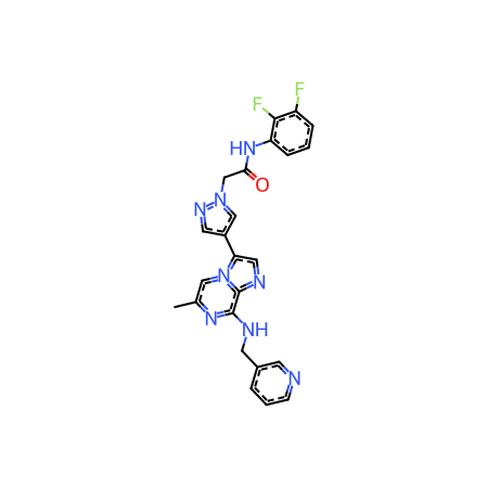 Cc1cn2c(-c3cnn(CC(=O)Nc4cccc(F)c4F)c3)cnc2c(NCc2cccnc2)n1